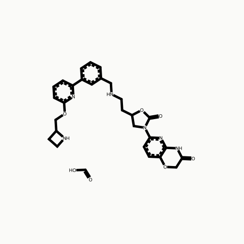 O=C1COc2ccc(N3CC(CCNCc4cccc(-c5cccc(OCC6CCN6)n5)c4)OC3=O)nc2N1.O=CO